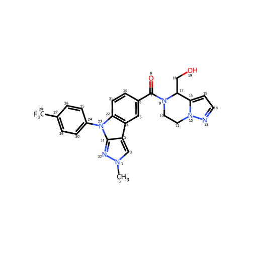 Cn1cc2c3cc(C(=O)N4CCn5nccc5C4CO)ccc3n(-c3ccc(C(F)(F)F)cc3)c2n1